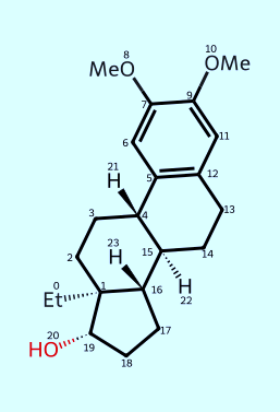 CC[C@]12CC[C@@H]3c4cc(OC)c(OC)cc4CC[C@H]3[C@@H]1CC[C@@H]2O